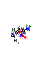 Cc1cccnc1-c1cc([C@@H](CO)N2C(=O)C(CC(C)(C)C)(c3ccc(-c4cnn(C(F)F)c4)cc3F)NC2=NC(=O)O)ccc1Cl